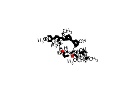 C=CC(=O)N1CCC(O)(C(=O)N(C)[C@H](C(=O)N[C@H]2Cc3cc(O)cc(c3)-c3ccc4c(c3)c(c(-c3ccc(C5CCN(C)CC5)nc3)n4CC)CC(C)(C)COC(=O)[C@@]3(O)CCCN(N3)C2=O)C(C)C)C1